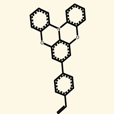 C=Cc1ccc(-c2cc3c4c(c2)Oc2ccccc2N4c2ccccc2O3)cc1